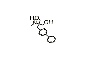 CN(C)C(CO)(CO)Cc1ccc(-c2cc[c]cc2)cc1